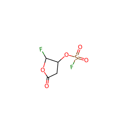 O=C1CC(OS(=O)(=O)F)C(F)O1